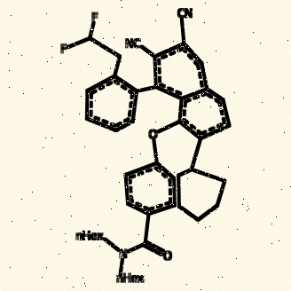 CCCCCCN(CCCCCC)C(=O)c1ccc(Oc2c(C3CCCCC3)ccc3cc(C#N)c(C#N)c(-c4ccccc4CC(F)F)c23)cc1